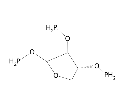 POC1OC[C@@H](OP)C1OP